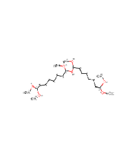 CCCCCCCCCCOC(CCCCCCC(OCCC)OC(CCCCCCC(OCCCCCCCCCC)OCCCCCCCCCC)OCCC)OCCCCCCCCCC